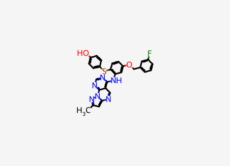 Cc1cc2ncc3c(Nc4cc(OCc5cccc(F)c5)ccc4Sc4ccc(O)cc4)ncnc3n2n1